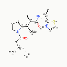 CC[C@@H](C)[CH][C@@H](CC(=O)N1CCC[C@H]1[C@H](OC)[C@@H](C)C(=O)N[C@@H](C)c1nccs1)OC